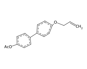 C=CCOc1ccc(-c2ccc(OC(C)=O)cc2)cc1